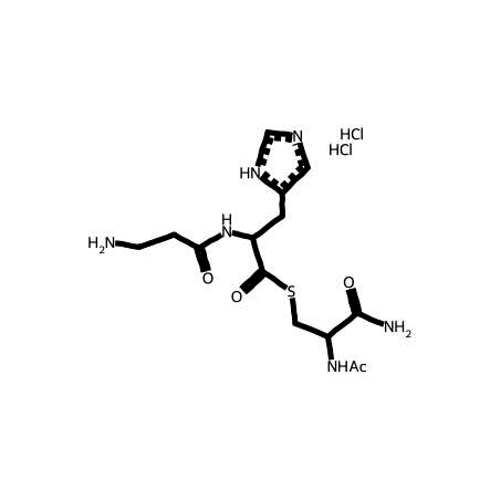 CC(=O)NC(CSC(=O)C(Cc1cnc[nH]1)NC(=O)CCN)C(N)=O.Cl.Cl